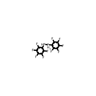 Fc1c(F)c(F)c(P[PH3]c2c(F)c(F)c(F)c(F)c2F)c(F)c1F